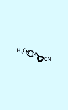 CN1CCCN(Cc2cccc(C#N)c2)CC1